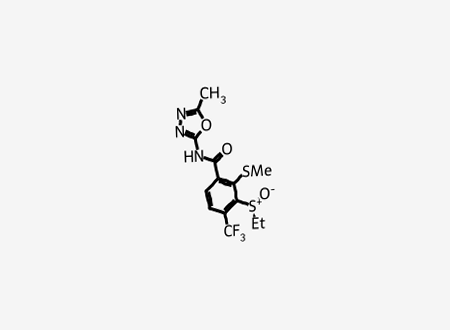 CC[S@@+]([O-])c1c(C(F)(F)F)ccc(C(=O)Nc2nnc(C)o2)c1SC